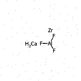 [CaH2].[F][Al]([F])[F].[Zr]